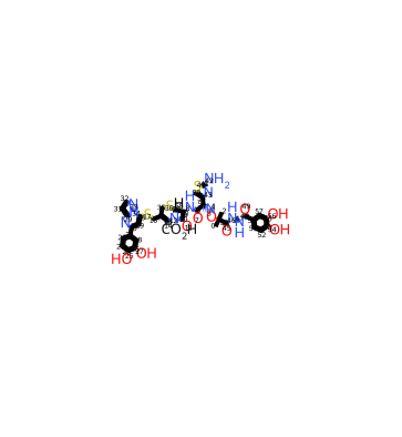 CC(C)(O/N=C(\C(=O)N[C@@H]1C(=O)N2C(C(=O)O)=C(CSc3cc(-c4ccc(O)c(O)c4)nc4ccnn34)CS[C@H]12)c1csc(N)n1)C(=O)NNC(=O)c1ccc(O)c(O)c1